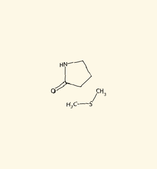 CSC.O=C1CCCN1